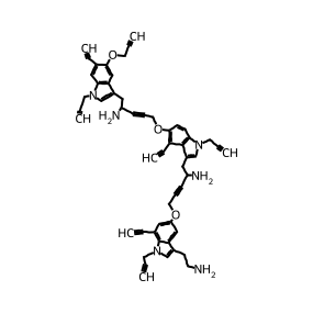 C#CCOc1cc2c(CC(N)C#CCOc3ccc4c(c(CC(N)C#CCOc5cc(C#C)c6c(c5)c(CCN)cn6CC#C)cn4CC#C)c3C#C)cn(CC#C)c2cc1C#C